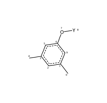 Cc1cc(C)cc([O][Y])c1